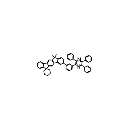 CC1(C)c2ccc(-c3cccc(-c4nc(-c5ccccc5)c(-c5ccccc5)nc4-c4ccccc4)c3)cc2-c2cc3c(cc21)-c1ccccc1C31CCCCC1